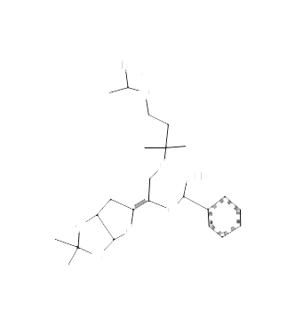 BC(C)OCCC(C)(C)OC/C(OC(O)c1ccccc1)=C1/OC2OC(C)(C)OC2[C@@H]1C